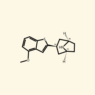 COc1cccc2sc([C@H]3C[C@H]4CC[C@@H](C3)N4)cc12